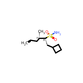 C=CC[C@H](C)[C@@H](CC1CCC1)S(N)(=O)=O